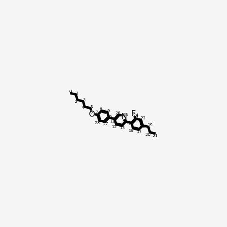 CCCCCCOc1ccc(-c2ccc(-c3ccc(CCC)cc3F)nc2)cc1